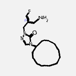 NC/C(=C\F)Cn1ncn(C2CCCCCCCCCCC2)c1=O